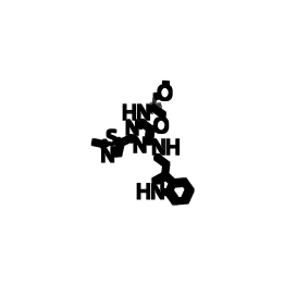 COC[C@@H]1COc2c(NCCc3c[nH]c4ccccc34)nc(-c3cnc(C)s3)nc2N1